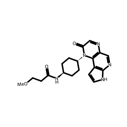 COCCC(=O)N[C@H]1CC[C@H](n2c(=O)cnc3cnc4[nH]ccc4c32)CC1